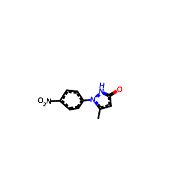 Cc1cc(=O)[nH]n1-c1ccc([N+](=O)[O-])cc1